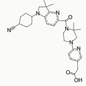 CC1(C)CN(C2CCC(C#N)CC2)c2ccc(C(=O)N3CCN(c4ccc(CC(=O)O)cn4)CC3(C)C)nc21